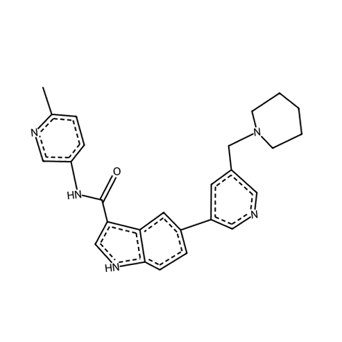 Cc1ccc(NC(=O)c2c[nH]c3ccc(-c4cncc(CN5CCCCC5)c4)cc23)cn1